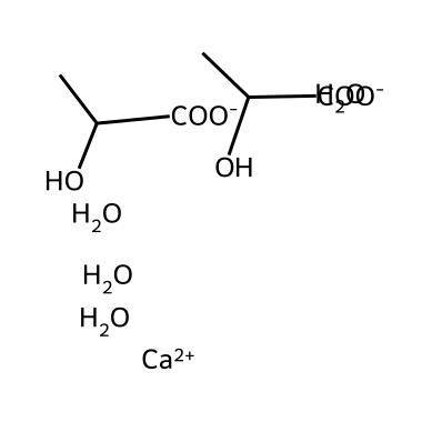 CC(O)C(=O)[O-].CC(O)C(=O)[O-].O.O.O.O.[Ca+2]